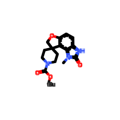 Cn1c(=O)[nH]c2ccc3c(c21)C1(CCN(C(=O)OC(C)(C)C)CC1)CO3